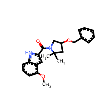 COc1cccc2[nH]c(C(=O)N3CC(OCc4ccccc4)CC3(C)C)cc12